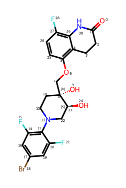 O=C1CCc2c(OC[C@]3(O)CCN(c4c(F)cc(Br)cc4F)C[C@@H]3O)ccc(F)c2N1